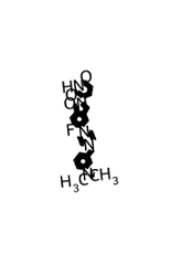 CN(C)c1cccc(CN2CCN(c3cc4c(cc3F)C(=O)N(C3CCC(=O)NC3=O)C4)CC2)c1